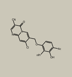 CCCc1c(OCc2cn3c(=O)c(C#N)cnc3cc2Cl)ccc(C(C)=O)c1O